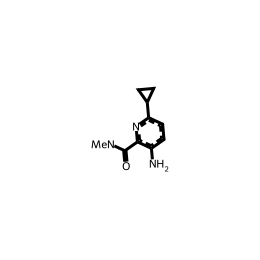 CNC(=O)c1nc(C2CC2)ccc1N